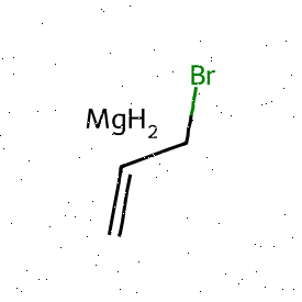 C=CCBr.[MgH2]